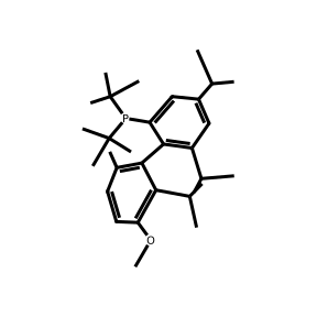 COc1ccc(C)c(-c2c(C(C)C)cc(C(C)C)cc2P(C(C)(C)C)C(C)(C)C)c1C(C)C